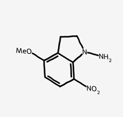 COc1ccc([N+](=O)[O-])c2c1CCN2N